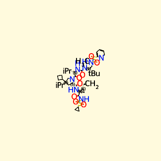 C=C[C@@H]1C[C@]1(NC(=O)[C@@H]1C[C@@](C(C)C)(C2CCC2)CN1C(=O)[C@@H](NC(=O)N[C@H](CN(C)S(=O)(=O)c1ccccn1)C(C)(C)C)C(C)C)C(=O)NS(=O)(=O)C1CC1